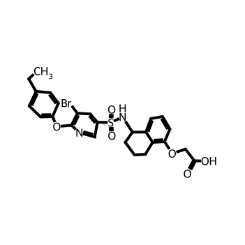 CCc1ccc(Oc2ncc(S(=O)(=O)NC3CCCc4c(OCC(=O)O)cccc43)cc2Br)cc1